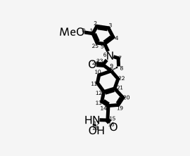 COc1cccc(N2CC[C@]3(CCc4cc(C(=O)NO)ccc4C3)C2=O)c1